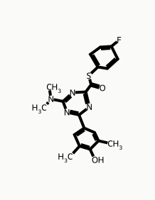 Cc1cc(-c2nc(C(=O)Sc3ccc(F)cc3)nc(N(C)C)n2)cc(C)c1O